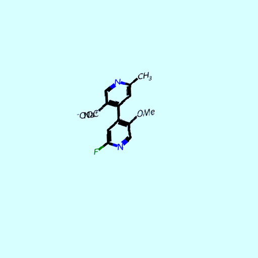 COc1cnc(F)cc1-c1cc(C)ncc1C(=O)[O-].[Na+]